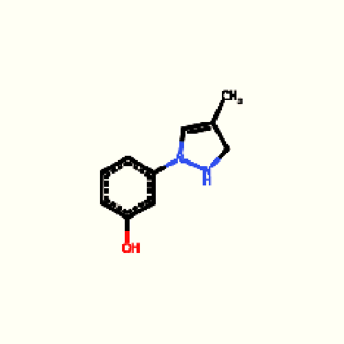 CC1=CN(c2cccc(O)c2)NC1